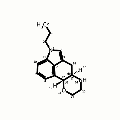 CCCn1cc2c3c(cccc31)[C@H]1OCCN[C@@H]1C2